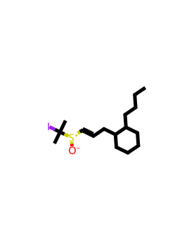 CCCCC1CCCCC1C/C=C/[S+]([O-])C(C)(C)I